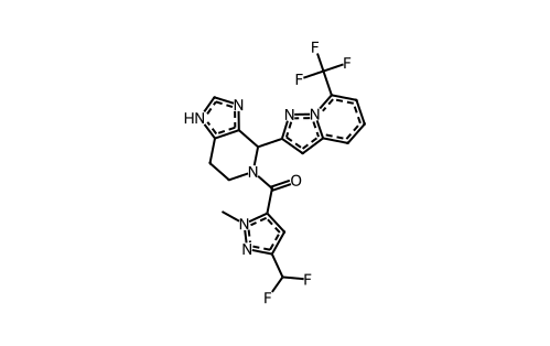 Cn1nc(C(F)F)cc1C(=O)N1CCc2[nH]cnc2C1c1cc2cccc(C(F)(F)F)n2n1